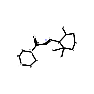 CC1CCCC(C)(C)C1/C=C/C(=O)N1CCSCC1